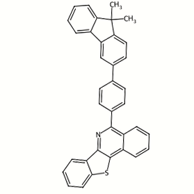 CC1(C)c2ccccc2-c2cc(-c3ccc(-c4nc5c6ccccc6sc5c5ccccc45)cc3)ccc21